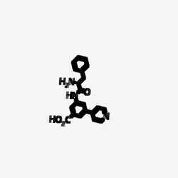 N[C@@H](Cc1ccccc1)C(=O)Nc1cc(C(=O)O)cc(-c2ccncc2)c1